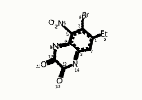 CCc1cc2c(c([N+](=O)[O-])c1Br)=NC(=O)C(=O)N=2